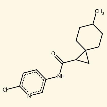 CC1CCC2(CC1)CC2C(=O)Nc1ccc(Cl)nc1